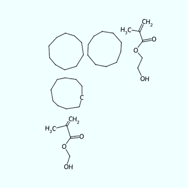 C1CCCCCCCCC1.C1CCCCCCCCC1.C1CCCCCCCCC1.C=C(C)C(=O)OCCO.C=C(C)C(=O)OCO